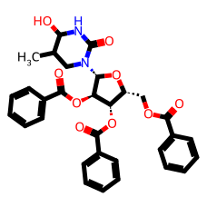 CC1CN([C@@H]2O[C@H](COC(=O)c3ccccc3)[C@H](OC(=O)c3ccccc3)[C@H]2OC(=O)c2ccccc2)C(=O)NC1O